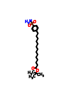 CC(C)(C)OC(=O)CCCCCCCCCCCCCc1ccc(S(N)(=O)=O)cc1